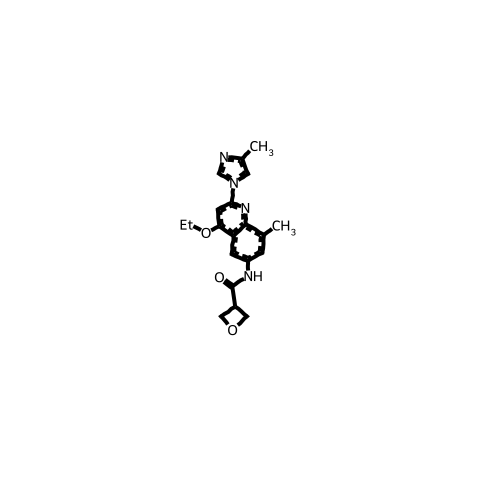 CCOc1cc(-n2cnc(C)c2)nc2c(C)cc(NC(=O)C3COC3)cc12